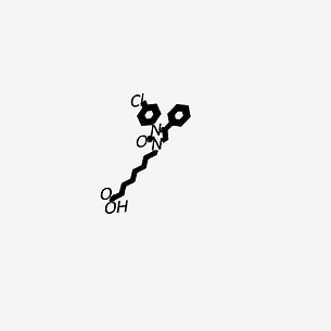 O=C(O)CCCCCCCN1CC(c2ccccc2)N(c2ccc(Cl)cc2)C1=O